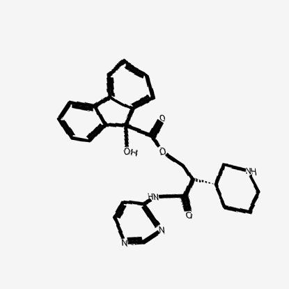 O=C(Nc1ccncn1)C(COC(=O)C1(O)c2ccccc2-c2ccccc21)[C@H]1CCCNC1